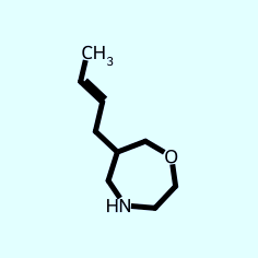 CC=CCC1CNCCOC1